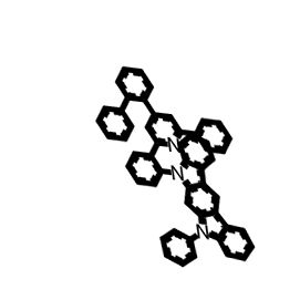 c1ccc(-c2cc(-c3ccccc3-c3ccccc3)cc(-c3ccccc3-n3c4ccccc4c4cc5c6ccccc6n(-c6ccccc6)c5cc43)n2)cc1